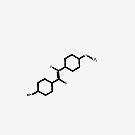 CCCC1CCC(/C(F)=C(\F)C2CCC(OC(F)(F)F)CC2)CC1